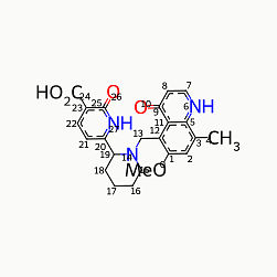 COc1cc(C)c2[nH]ccc(=O)c2c1CN1CCCCC1c1ccc(C(=O)O)c(=O)[nH]1